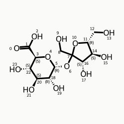 O=C(O)[C@H]1O[C@H](OC2(CO)O[C@H](CO)[C@@H](O)[C@@H]2O)[C@H](O)[C@@H](O)[C@@H]1O